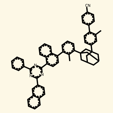 Cc1cc(C23CC4CC(C2)CC(c2cccc(-c5ccc(-c6nc(-c7ccccc7)nc(-c7ccc8ccccc8c7)n6)c6ccccc56)c2C)(C4)C3)ccc1-c1ccc(C#N)cc1